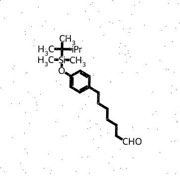 CC(C)C(C)(C)[Si](C)(C)Oc1ccc(CCCCCCC=O)cc1